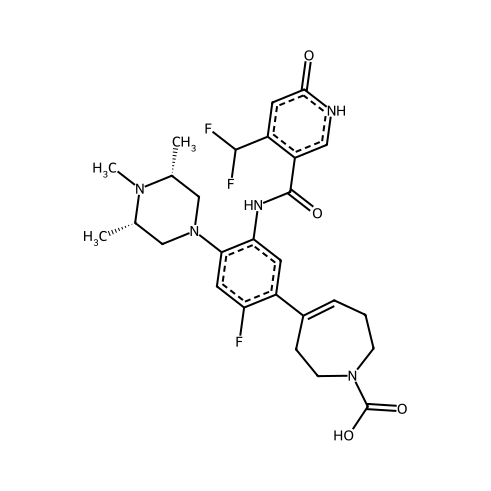 C[C@@H]1CN(c2cc(F)c(C3=CCCN(C(=O)O)CC3)cc2NC(=O)c2c[nH]c(=O)cc2C(F)F)C[C@H](C)N1C